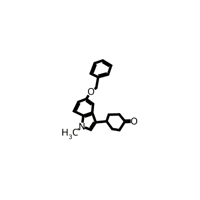 Cn1cc(C2CCC(=O)CC2)c2cc(OCc3ccccc3)ccc21